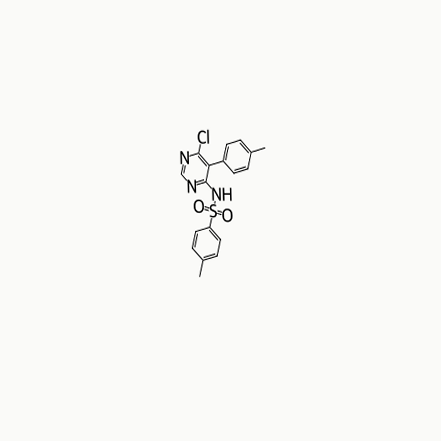 Cc1ccc(-c2c(Cl)ncnc2NS(=O)(=O)c2ccc(C)cc2)cc1